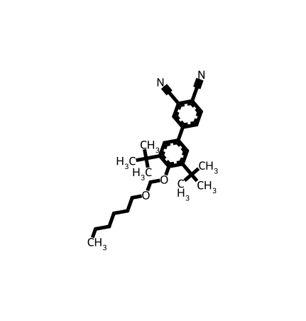 CCCCCCOCOc1c(C(C)(C)C)cc(-c2ccc(C#N)c(C#N)c2)cc1C(C)(C)C